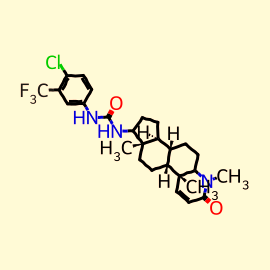 CN1C(=O)C=C[C@@]2(C)C1CC[C@@H]1[C@H]2CC[C@]2(C)C(NC(=O)Nc3ccc(Cl)c(C(F)(F)F)c3)CC[C@@H]12